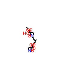 CCOC(=O)/C(O)=C1\CCCN(CC/C=C(\C)CCOC(=O)C(=O)C2CCCN(C)C2=O)C1=O